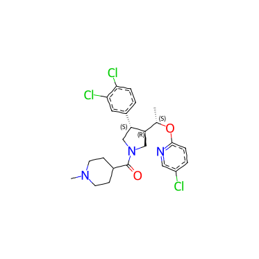 C[C@H](Oc1ccc(Cl)cn1)[C@H]1CN(C(=O)C2CCN(C)CC2)C[C@@H]1c1ccc(Cl)c(Cl)c1